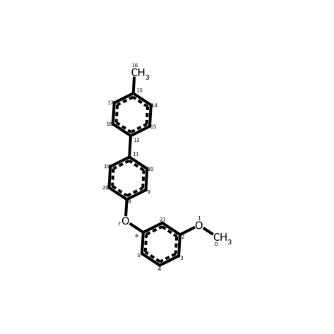 COc1cccc(Oc2ccc(-c3ccc(C)cc3)cc2)c1